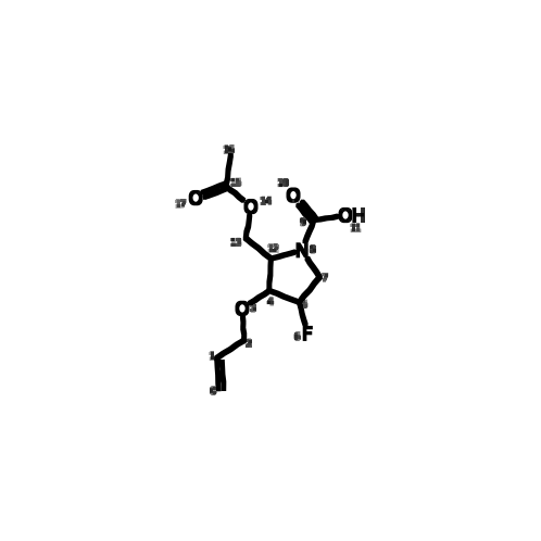 C=CCOC1C(F)CN(C(=O)O)C1COC(C)=O